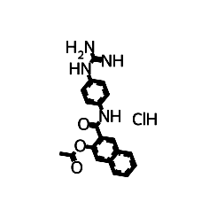 CC(=O)Oc1cc2ccccc2cc1C(=O)Nc1ccc(NC(=N)N)cc1.Cl